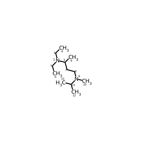 CCN(CC)C(C)CCN(C)C(C)C